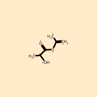 C=C(C)OC(=O)C(C)O